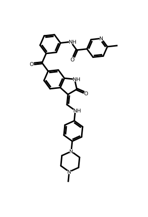 Cc1ccc(C(=O)Nc2cccc(C(=O)c3ccc4c(c3)NC(=O)C4=CNc3ccc(N4CCN(C)CC4)cc3)c2)cn1